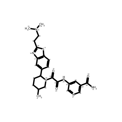 CC1CCC(c2ccc3sc(CCN(C)C)nc3c2)N(C(=O)C(=O)Nc2cncc(C(N)=O)c2)C1